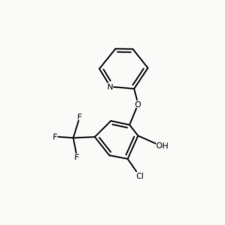 Oc1c(Cl)cc(C(F)(F)F)cc1Oc1ccccn1